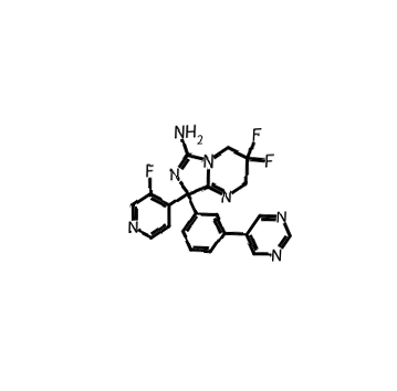 NC1=NC(c2cccc(-c3cncnc3)c2)(c2ccncc2F)C2=NCC(F)(F)CN12